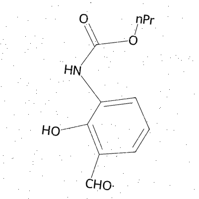 CCCOC(=O)Nc1cccc([C]=O)c1O